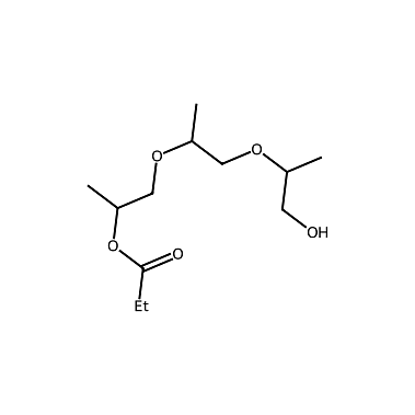 CCC(=O)OC(C)COC(C)COC(C)CO